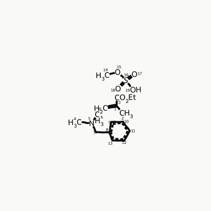 C=C(C)C(=O)OCC.CN(C)Cc1ccccc1.COS(=O)(=O)O